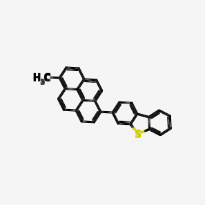 Cc1ccc2ccc3c(-c4ccc5c(c4)sc4ccccc45)ccc4ccc1c2c43